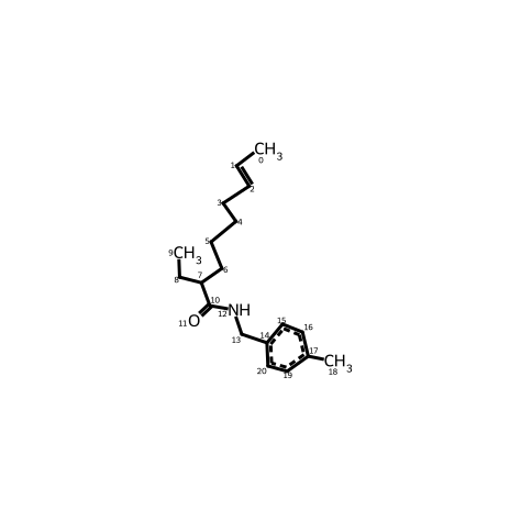 CC=CCCCCC(CC)C(=O)NCc1ccc(C)cc1